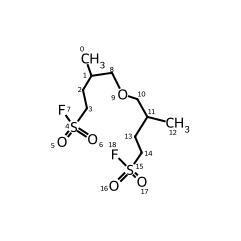 CC(CCS(=O)(=O)F)COCC(C)CCS(=O)(=O)F